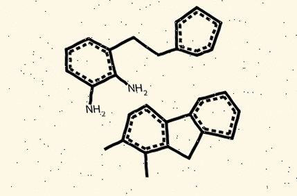 Cc1ccc2c(c1C)Cc1ccccc1-2.Nc1cccc(CCc2ccccc2)c1N